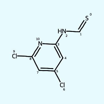 S=CNc1cc(Cl)cc(Cl)n1